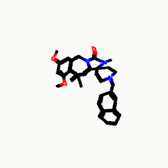 COc1cc2c(c(OC)c1)C(C)(C)C=C1N(C2)C(=O)N(C)C12CCN(Cc1ccc3ccccc3c1)CC2